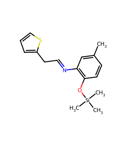 Cc1ccc(O[Si](C)(C)C)c(N=CCc2cccs2)c1